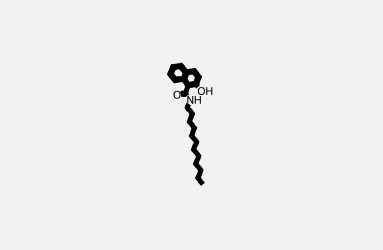 CCCCCCCCCCCCNC(=O)c1c(O)ccc2ccccc12